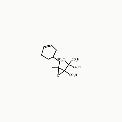 CC1(CC2CC=CCC2)OC1(C(=O)O)C(C(=O)O)(C(=O)O)C(=O)O